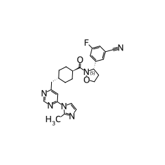 Cc1nccn1-c1cc(C[C@H]2CC[C@H](C(=O)N3OCC[C@H]3c3cc(F)cc(C#N)c3)CC2)ncn1